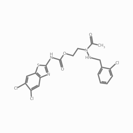 CC(=O)N(CCOC(=O)Nc1nc2cc(Cl)c(Cl)cc2s1)NCc1ccccc1Cl